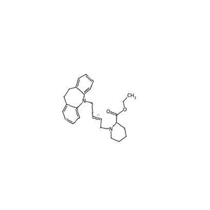 CCOC(=O)C1CCCCN1C/C=C/CN1c2ccccc2CCc2ccccc21